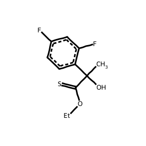 CCOC(=S)C(C)(O)c1ccc(F)cc1F